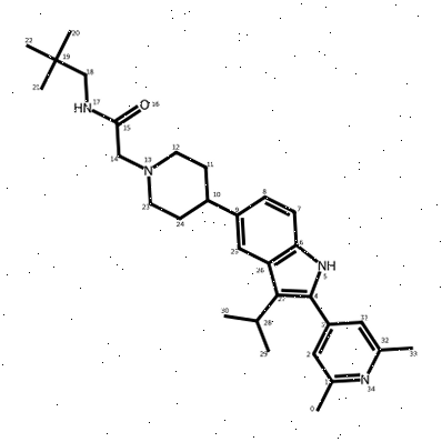 Cc1cc(-c2[nH]c3ccc(C4CCN(CC(=O)NCC(C)(C)C)CC4)cc3c2C(C)C)cc(C)n1